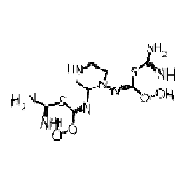 N=C(N)SC(=NC1CNCCN1N=C(OO)SC(=N)N)OO